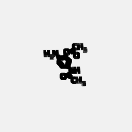 CC(=O)Nc1ccc(N)c(OC(C)=O)c1